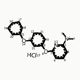 CN(C)c1cccc(Oc2cccc(Oc3ccccc3)c2)n1.Cl